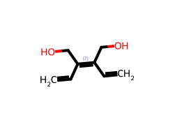 C=C/C(CO)=C(\C=C)CO